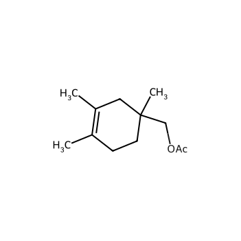 CC(=O)OCC1(C)CCC(C)=C(C)C1